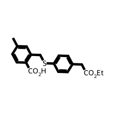 CCOC(=O)Cc1ccc(SCc2cc(C)ccc2C(=O)O)cc1